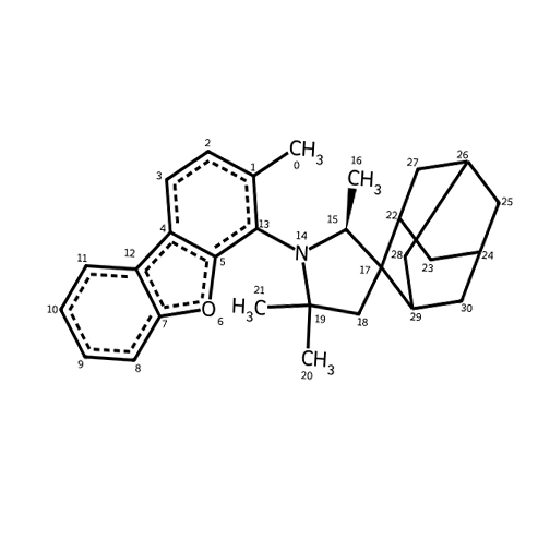 Cc1ccc2c(oc3ccccc32)c1N1[C@@H](C)C2(CC1(C)C)C1CC3CC(C1)CC2C3